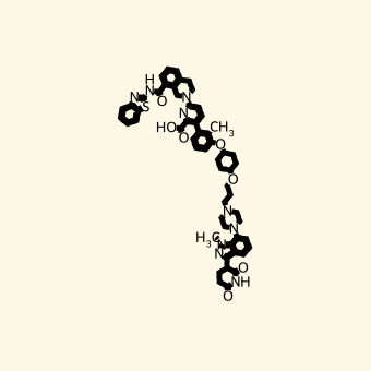 Cc1c(OC2CCC(OCCCN3CCN(c4cccc5c(C6CCC(=O)NC6=O)nn(C)c45)CC3)CC2)cccc1-c1ccc(N2CCc3cccc(C(=O)Nc4nc5ccccc5s4)c3C2)nc1C(=O)O